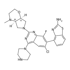 CN1CCO[C@H]2CN(c3nc(N4CCNCC4)c4cc(Cl)c(-c5cccc6sc(N)nc56)c(F)c4n3)C[C@H]21